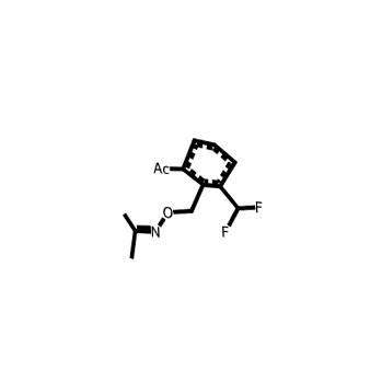 CC(=O)c1cccc(C(F)F)c1CON=C(C)C